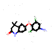 CC1(C)CC(=O)Nc2ccc(Oc3c(Cl)cc(N)cc3Cl)cc21